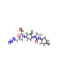 [N-]=[N+]=NCC1CN(c2ccc(N3CCN(c4ccc(F)cc4)C3=O)c(F)c2)C(C=O)O1